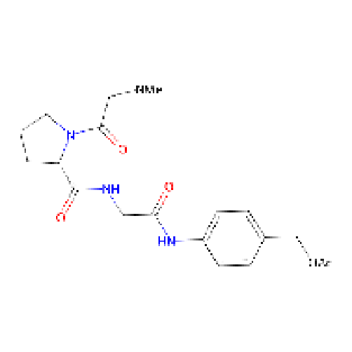 CNCC(=O)N1CCC[C@H]1C(=O)NCC(=O)Nc1ccc(COC(C)=O)cc1